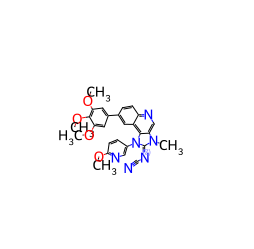 COc1ccc(-n2/c(=N\C#N)n(C)c3cnc4ccc(-c5cc(OC)c(OC)c(OC)c5)cc4c32)cn1